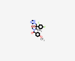 CC(N(CC(=O)O)C(=O)c1ccc(OC(F)(F)F)cc1)C(O)(Cn1cncn1)c1ccc(F)cc1F